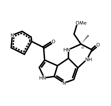 COC[C@]1(C)NC2C(=CN=C3NC=C(C(=O)c4ccncc4)C32)NC1=O